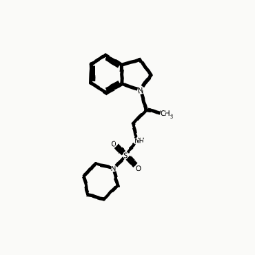 CC(CNS(=O)(=O)N1CCCCC1)N1CCc2ccccc21